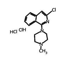 CN1CCN(c2nc(Cl)cc3ccccc23)CC1.Cl.Cl